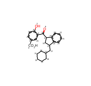 O=C(O)c1ccc(O)c(C(=O)C2CC(CC3CCCCC3)c3ccccc32)c1